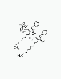 CC=C(CCCCCCCCC)[N+]1(Oc2ccccc2)CCO1.CC=C(CCCCCCCCC)[N+]1(Oc2ccccc2)CCO1.O=S(=O)([O-])[O-]